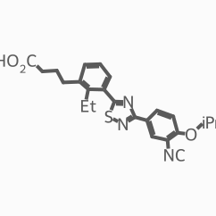 [C-]#[N+]c1cc(-c2nsc(-c3cccc(CCCC(=O)O)c3CC)n2)ccc1OC(C)C